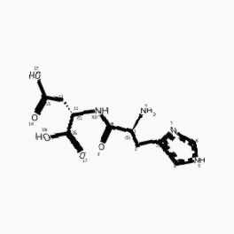 N[C@@H](Cc1c[nH]cn1)C(=O)N[C@@H](CC(=O)O)C(=O)O